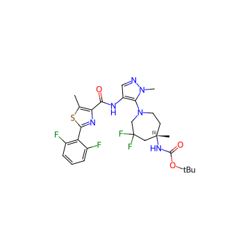 Cc1sc(-c2c(F)cccc2F)nc1C(=O)Nc1cnn(C)c1N1CC[C@](C)(NC(=O)OC(C)(C)C)CC(F)(F)C1